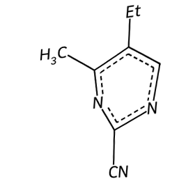 CCc1cnc(C#N)nc1C